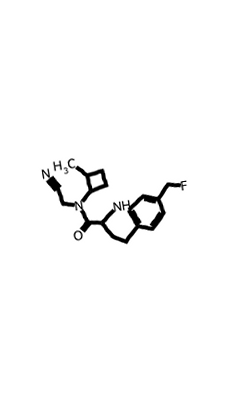 CC1CCC1N(CC#N)C(=O)C1CCc2ccc(CF)cc2N1